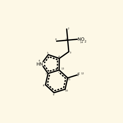 CC(C)(Cc1c[nH]c2cccc(F)c12)[N+](=O)[O-]